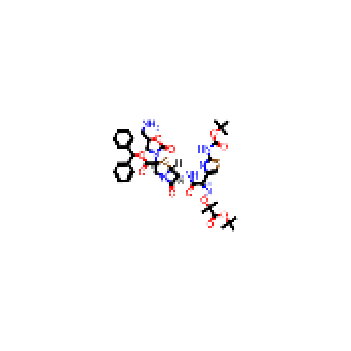 CC(C)(C)OC(=O)Nc1nc(/C(=N/OC(C)(C)C(=O)OC(C)(C)C)C(=O)N[C@@H]2C(=O)N3C[C@@](C(=O)OC(c4ccccc4)c4ccccc4)(N4CC(CN)OC4=O)S[C@H]23)cs1